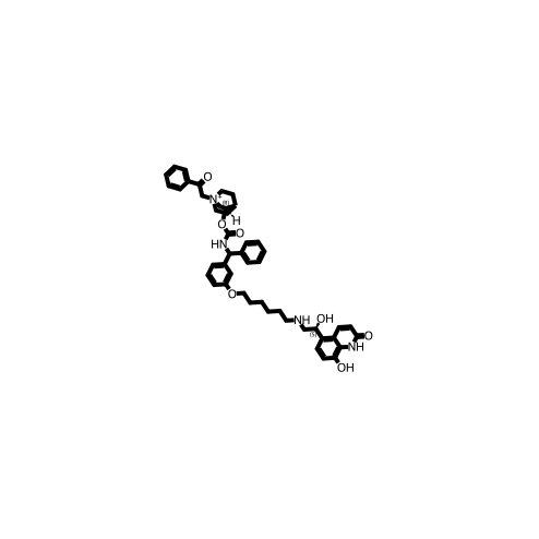 O=C(NC(c1ccccc1)c1cccc(OCCCCCCNC[C@@H](O)c2ccc(O)c3[nH]c(=O)ccc23)c1)O[C@H]1C[N+]2(CC(=O)c3ccccc3)CCC1CC2